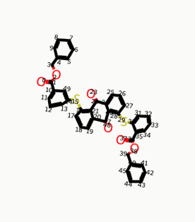 O=C(OCc1ccccc1)c1cccc(Sc2cccc3c2C(=O)c2cccc(Sc4ccccc4C(=O)OCc4ccccc4)c2C3=O)c1